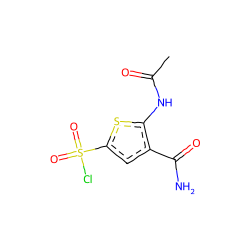 CC(=O)Nc1sc(S(=O)(=O)Cl)cc1C(N)=O